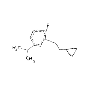 CC(C)c1ccc(F)c(CCC2CC2)c1